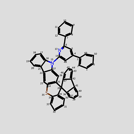 c1ccc(-c2cc(-c3ccccc3)nc(-n3c4ccccc4c4cc5c(cc43)C3(c4ccccc4S5)c4ccccc4-c4ccccc43)c2)cc1